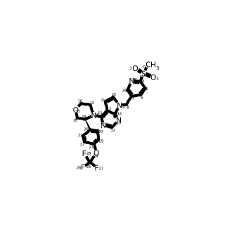 CS(=O)(=O)c1ccc(Cn2ccc3c(N4CCOC[C@@H]4c4ccc(OC(F)(F)F)cc4)ncnc32)cn1